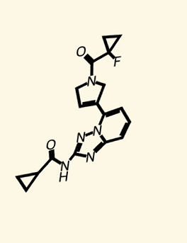 O=C(Nc1nc2cccc(C3=CCN(C(=O)C4(F)CC4)C3)n2n1)C1CC1